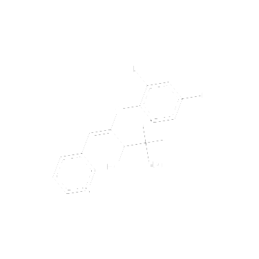 CCCCC(C)(C)C(O)/C(=C\c1cccnc1)Oc1ccc(F)cc1Cl